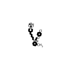 Cc1cccc2c1nc(COc1ccc(Cl)cc1)n2CCCCCC1CCN(C(=O)OC(C)(C)C)CC1